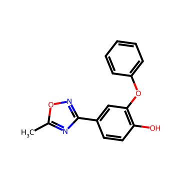 Cc1nc(-c2ccc(O)c(Oc3ccccc3)c2)no1